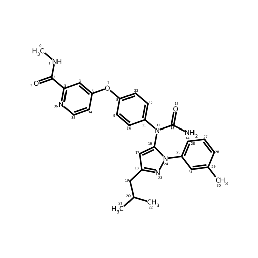 CNC(=O)c1cc(Oc2ccc(N(C(N)=O)c3cc(CC(C)C)nn3-c3cccc(C)c3)cc2)ccn1